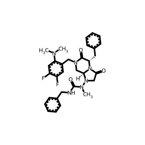 CN(C)c1cc(F)c(F)cc1CN1C[C@H]2N(C(=O)CN2N(C)C(=O)NCc2ccccc2)[C@@H](Cc2ccccc2)C1=O